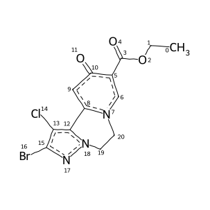 CCOC(=O)c1cn2c(cc1=O)-c1c(Cl)c(Br)nn1CC2